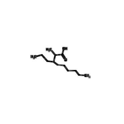 CCCCCCC(CCC)C(C)C(=O)O